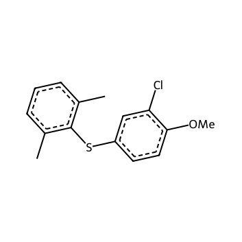 COc1ccc(Sc2c(C)cccc2C)cc1Cl